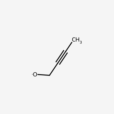 CC#CC[O]